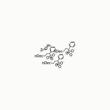 CC(C)[O][Zr+3].CCCCCCCCCCCCC(c1ccccc1)S(=O)(=O)[O-].CCCCCCCCCCCCC(c1ccccc1)S(=O)(=O)[O-].CCCCCCCCCCCCC(c1ccccc1)S(=O)(=O)[O-]